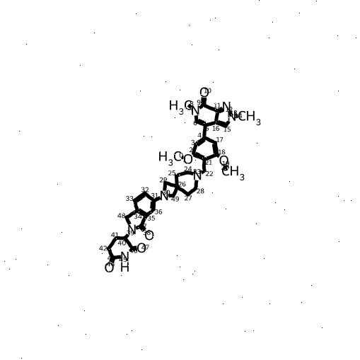 COc1cc(-c2cn(C)c(=O)c3nn(C)cc23)cc(OC)c1CN1CCC2(CC1)CN(c1ccc3c(c1)C(=O)N(C1CCC(=O)NC1=O)C3)C2